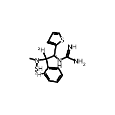 [2H]c1ccccc1C([2H])([C](NC(=N)N)c1cccs1)N(C)S